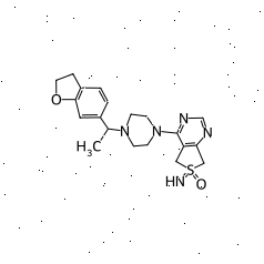 CC(c1ccc2c(c1)OCC2)N1CCN(c2ncnc3c2CS(=N)(=O)C3)CC1